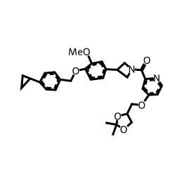 COc1cc(C2CN(C(=O)c3cc(OCC4COC(C)(C)O4)ccn3)C2)ccc1OCc1ccc(C2CC2)cc1